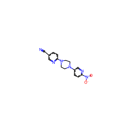 N#Cc1ccc(N2CCN(c3ccc([N+](=O)[O-])nc3)CC2)nc1